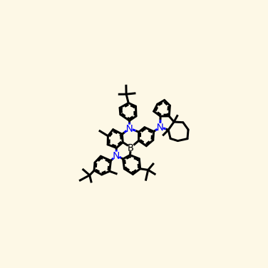 Cc1cc2c3c(c1)N(c1ccc(C(C)(C)C)cc1C)c1ccc(C(C)(C)C)cc1B3c1ccc(N3c4ccccc4C4(C)CCCCCC34C)cc1N2c1ccc(C(C)(C)C)cc1